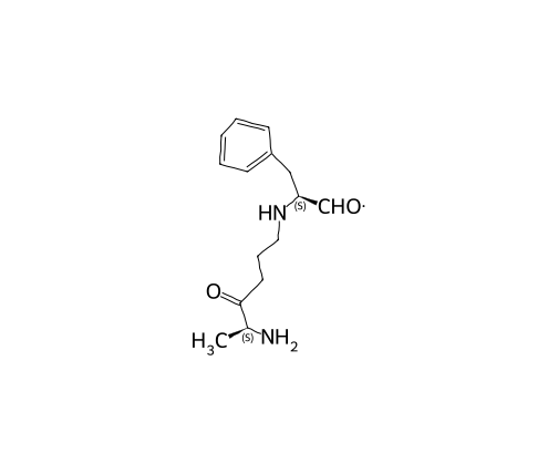 C[C@H](N)C(=O)CCCN[C@H]([C]=O)Cc1ccccc1